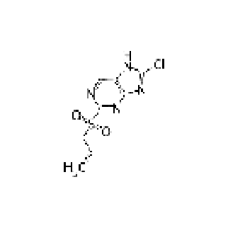 C=CCS(=O)(=O)c1ncc2[nH]c(Cl)nc2n1